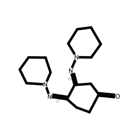 O=C1CCC(=N/N2CCCCC2)/C(=N/N2CCCCC2)C1